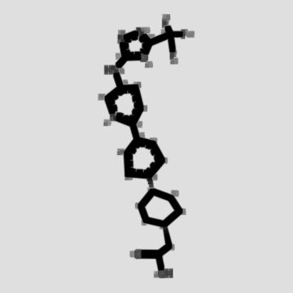 O=C(O)C[C@H]1CC[C@H](c2ccc(-c3ccc(Nc4nnc(C(F)(F)F)o4)cn3)cc2)CC1